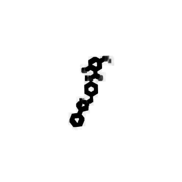 O=C(N[C@H]1CC[C@H](Cn2cc(-c3ccccc3)cn2)CC1)c1cc(C(F)(F)F)ccc1Cl